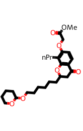 CCCc1c(OCC(=O)OC)ccc2c1OC(CCCCCCOC1CCCCO1)CC2=O